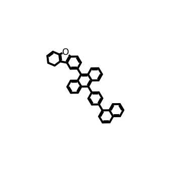 C1=Cc2oc3ccc(-c4c5ccccc5c(-c5ccc(-c6cccc7ccccc67)cc5)c5ccccc45)cc3c2CC1